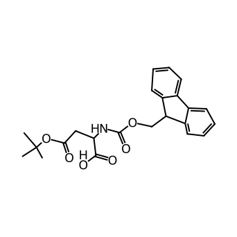 CC(C)(C)OC(=O)CC(NC(=O)OCC1c2ccccc2-c2ccccc21)C(=O)O